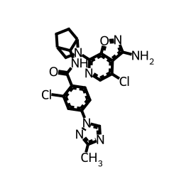 Cc1ncn(-c2ccc(C(=O)NC3C4CCC3N(c3ncc(Cl)c5c(N)noc35)C4)c(Cl)c2)n1